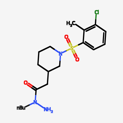 CCCCN(N)C(=O)CC1CCCN(S(=O)(=O)c2cccc(Cl)c2C)C1